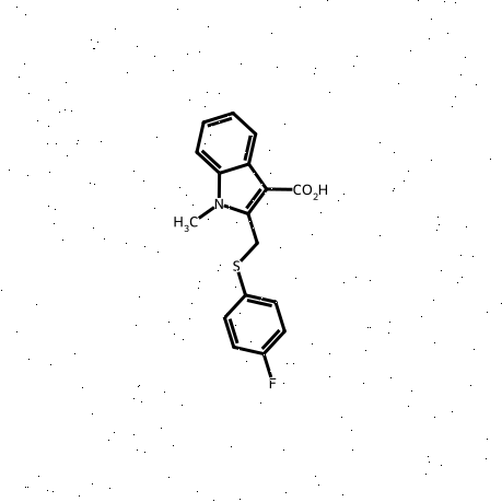 Cn1c(CSc2ccc(F)cc2)c(C(=O)O)c2ccccc21